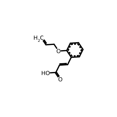 C=CCOc1ccccc1C=CC(=O)O